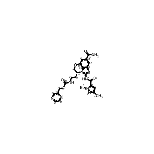 CCn1nc(C)cc1C(=O)Nc1nc2cc(C(N)=O)cc3c2n1[C@@H](CCNC(=O)OCc1cnccn1)CO3